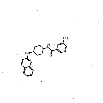 O=C(NC1CCC(Nc2ccc3ccccc3n2)CC1)c1cccc(O)c1